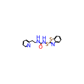 O=C(NCCc1ccccn1)NSc1nc2ccccc2s1